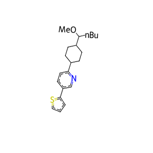 CCCCC(OC)C1CCC(c2ccc(-c3cccs3)cn2)CC1